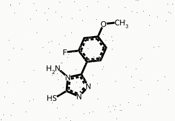 COc1ccc(-c2nnc(S)n2N)c(F)c1